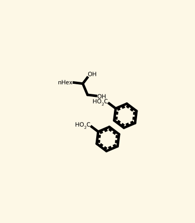 CCCCCCC(O)CO.O=C(O)c1ccccc1.O=C(O)c1ccccc1